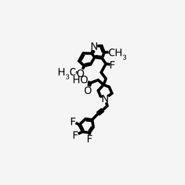 COc1ccc2ncc(C)c(C(F)CCC3(CC(=O)O)CCN(CC#Cc4cc(F)c(F)c(F)c4)CC3)c2c1